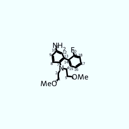 COCCN(CCOC)c1ccc(N)cc1-c1ccccc1F